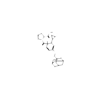 COC(=O)[C@@H]1C[C@@H](F)CN1C(=O)C1(F)C=CC(OCC23CC4CC(CC(C4)C2)C3)=CC1C1CC1